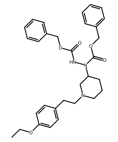 CCOc1ccc(CCN2CCCC(N(NC(=O)OCc3ccccc3)C(=O)OCc3ccccc3)C2)cc1